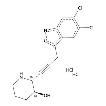 Cl.Cl.O[C@H]1CCCN[C@@H]1C#CCn1cnc2cc(Cl)c(Cl)cc21